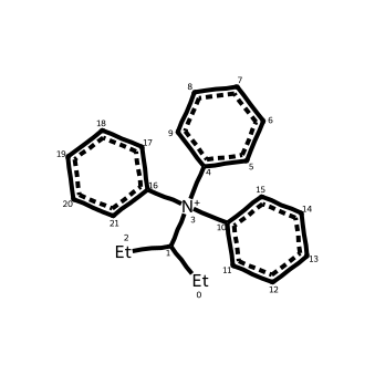 CCC(CC)[N+](c1ccccc1)(c1ccccc1)c1ccccc1